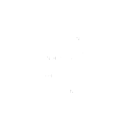 N#CC(C=O)Cc1cccnc1.[NaH]